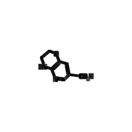 O=C(O)c1cnc2c(c1)OCCN2